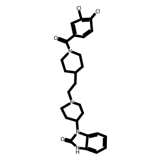 O=C(c1ccc(Cl)c(Cl)c1)N1CCC(CCN2CCC(n3c(=O)[nH]c4ccccc43)CC2)CC1